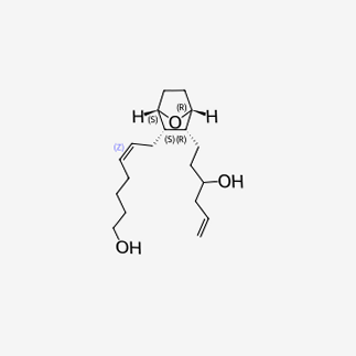 C=CCC(O)CC[C@@H]1[C@H](C/C=C\CCCCO)[C@@H]2CC[C@H]1O2